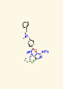 CN(CCc1ccccc1)Cc1ccc(C(=O)NN(c2nc(N)ncc2Cl)C2CCCC2)cc1